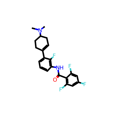 CN(C)C1CC=C(c2cccc(NC(=O)c3c(F)cc(F)cc3F)c2F)CC1